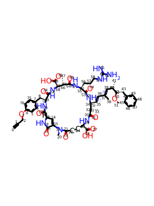 C#CCOc1ccc(C[C@@H]2NC(=O)[C@H]3C=C(C(=O)N3)N(C)C(=O)CC[C@H](C(=O)O)NC(=O)[C@@H](C)[C@H](/C=C/C(C)=C/[C@H](C)[C@H](Cc3ccccc3)OC)NC(=O)[C@H](CCCNC(=N)N)NC(=O)[C@@H](C)[C@H](C(=O)O)NC2=O)cc1